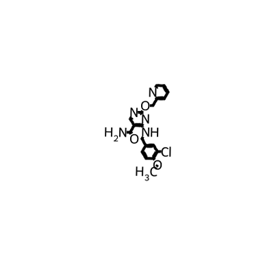 COc1ccc(CNc2nc(OCc3ccccn3)ncc2C(N)=O)cc1Cl